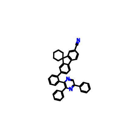 N#Cc1ccc2c(c1)C1(CCCCC1)c1cc(-c3ccccc3-c3ncc(-c4ccccc4)nc3-c3ccccc3)ccc1-2